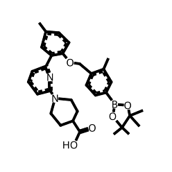 Cc1ccc(OCc2ccc(B3OC(C)(C)C(C)(C)O3)cc2C)c(-c2cccc(N3CCC(C(=O)O)CC3)n2)c1